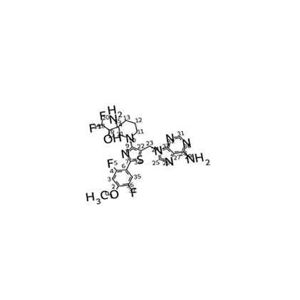 COc1cc(F)c(-c2nc(N3CCC[C@](N)(C(O)C(F)F)C3)c(Cn3cnc4c(N)ncnc43)s2)cc1F